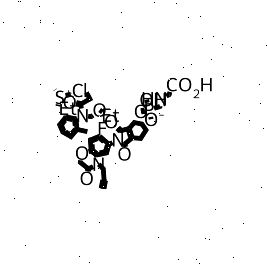 C#CCN1C(=O)COc2cc(F)c(N3C(=O)C4=C(CCCC4)C3=O)cc21.CCOCN(C(=O)CCl)c1c(C)cccc1CC.C[S+](C)C.O=C(O)CNCP(=O)([O-])O